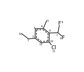 [CH2]Cc1cc(C)c(C(F)F)c(Cl)c1